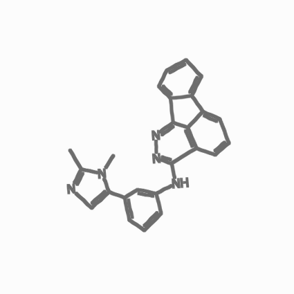 Cc1ncc(-c2cccc(Nc3nnc4c5c(cccc35)-c3ccccc3-4)c2)n1C